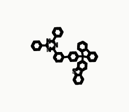 c1ccc(-c2nc(-c3ccccc3)nc(-c3cccc(-c4ccc(C5(c6ccc7c(c6)sc6ccccc67)c6ccccc6-c6ccccc65)cc4)c3)n2)cc1